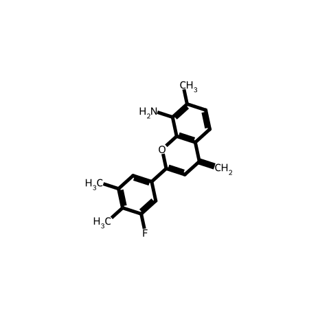 C=C1C=C(c2cc(C)c(C)c(F)c2)Oc2c1ccc(C)c2N